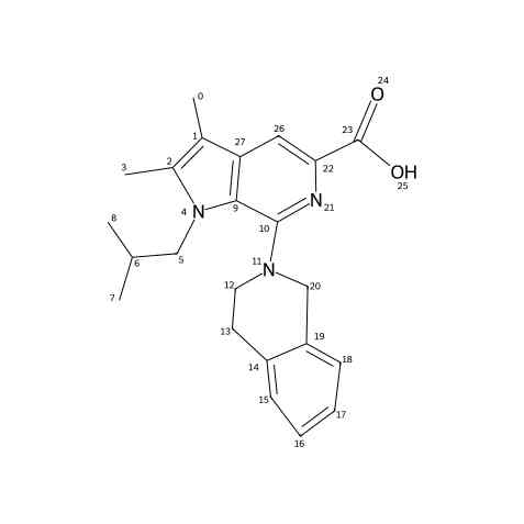 Cc1c(C)n(CC(C)C)c2c(N3CCc4ccccc4C3)nc(C(=O)O)cc12